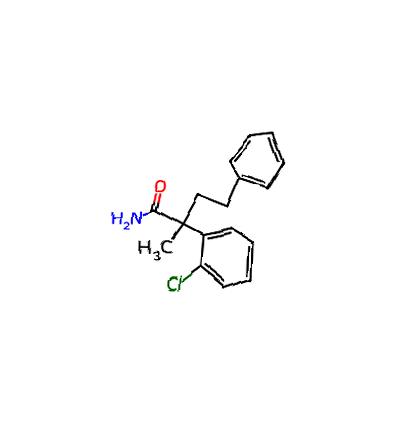 CC(CCc1ccccc1)(C(N)=O)c1ccccc1Cl